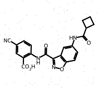 N#Cc1ccc(NC(=O)c2noc3ccc(NC(=O)C4CCC4)cc23)c(C(=O)O)c1